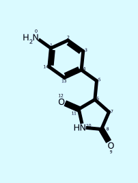 Nc1ccc(CC2CC(=O)NC2=O)cc1